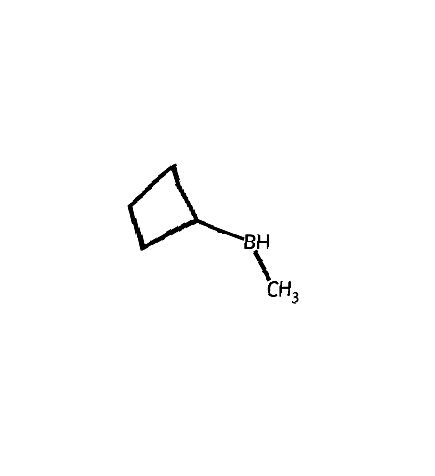 CBC1CCC1